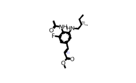 CC[C@H](C)CNc1cc(/C=C/C(=O)OC)cc(F)c1NC(C)=O